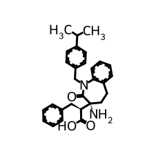 CC(C)c1ccc(CN2C(=O)[C@](N)([C@H](Cc3ccccc3)C(=O)O)CCc3ccccc32)cc1